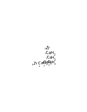 [CaH2].[CaH2].[CaH2].[CaH2].[CaH2].[Zr].[Zr]